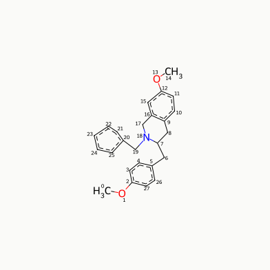 COc1ccc(CC2Cc3ccc(OC)cc3CN2Cc2ccccc2)cc1